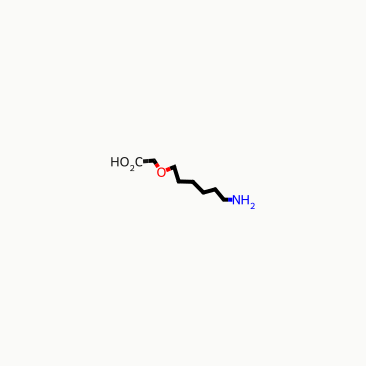 NCCCCCCOCC(=O)O